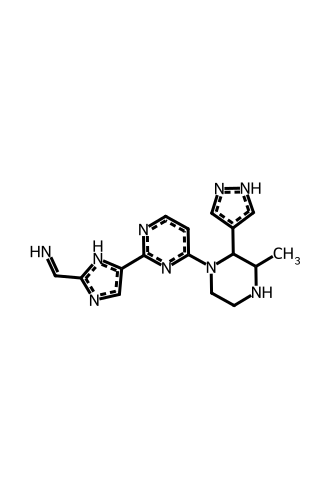 CC1NCCN(c2ccnc(-c3cnc(C=N)[nH]3)n2)C1c1cn[nH]c1